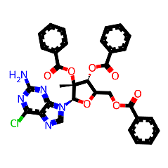 C[C@@]1(OC(=O)c2ccccc2)[C@H](OC(=O)c2ccccc2)C(COC(=O)c2ccccc2)O[C@H]1n1cnc2c(Cl)nc(N)nc21